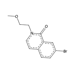 COCCn1ccc2ccc(Br)cc2c1=O